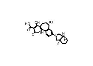 Cl.O=C(O)c1c(O)c2c([nH]c1=O)-c1ccc(N3C[C@H]4CCCN[C@H]4C3)cc1CCC2